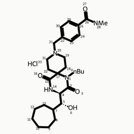 CCCCN1C(=O)[C@@H]([C@H](O)C2CCCCCC2)NC(=O)C12CCN(Cc1ccc(C(=O)NC)cc1)CC2.Cl